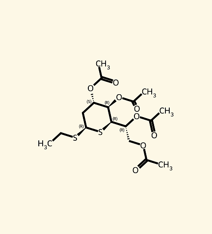 CCS[C@H]1C[C@H](OC(C)=O)[C@@H](OC(C)=O)[C@@H]([C@@H](COC(C)=O)OC(C)=O)S1